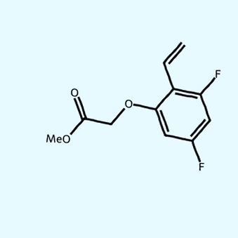 C=Cc1c(F)cc(F)cc1OCC(=O)OC